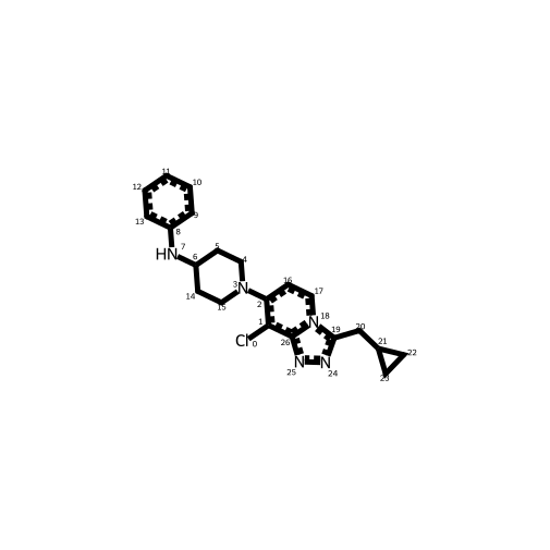 Clc1c(N2CCC(Nc3ccccc3)CC2)ccn2c(CC3CC3)nnc12